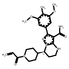 C=CC(=O)N1CCC([C@@H]2CCNc3c(C(N)=O)c(-c4cc(OC)c(C)c(OC)c4)nn32)CC1